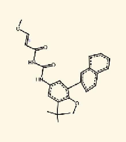 CO/C=C/C(=O)NC(=O)Nc1cc(-c2ccc3ccccc3c2)c(OC)c(C(C)(C)C)c1